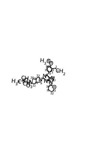 C=Cc1cc(-c2nc(N3CC4CN(C(=O)OC(C)(C)C)CC4C3)nc3c2ncn3C2CCCCO2)ccc1OC